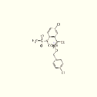 CCOC(=O)N(c1ccc(Cl)cc1/C(CC)=N/OCc1ccc(Cl)cc1)S(=O)(=O)C(F)(F)F